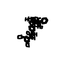 CC(C)(Oc1ccc(NC(=O)Nc2cc(Cl)cc(Cl)c2)cc1)C(=O)NC1(C(=O)O)CCCCC1